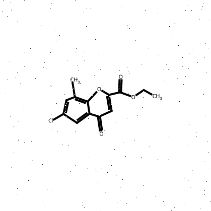 CCOC(=O)c1cc(=O)c2cc(Cl)cc(C)c2o1